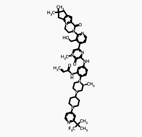 C=CC(=O)Nc1cc(Nc2nc(-c3ccnc(N4CCn5c(cc6c5CC(C)(C)C6)C4=O)c3CO)cn(C)c2=O)ccc1N1CCN(C2CCN(c3ccnc(C(C)(C)C(F)(F)F)c3)CC2)C[C@@H]1C